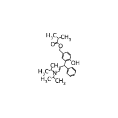 CC(C)C(=O)OCc1ccc(O)c(C(CCN(C(C)C)C(C)C)c2ccccc2)c1